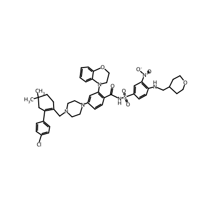 CC1(C)CCC(CN2CCN(c3ccc(C(=O)NS(=O)(=O)c4ccc(NCC5CCOCC5)c([N+](=O)[O-])c4)c(N4CCOc5ccccc54)c3)CC2)=C(c2ccc(Cl)cc2)C1